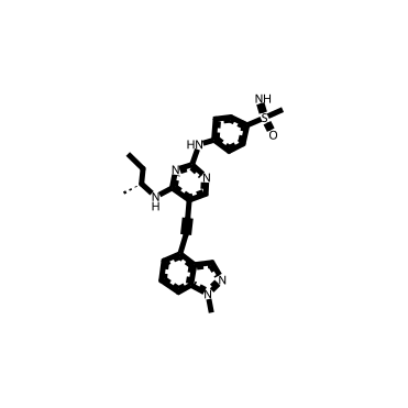 CC[C@@H](C)Nc1nc(Nc2ccc(S(C)(=N)=O)cc2)ncc1C#Cc1cccc2c1cnn2C